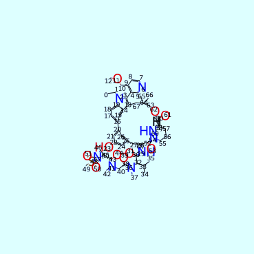 CCn1c(-c2cnccc2COC)c2c3cc(ccc31)-c1cc(O)cc(c1)C[C@H](NC(=O)C(C(C)C)N(C)C(=O)CN(C)C(=O)[C@@H]1CN1S(C)(=O)=O)C(=O)N1CCC[C@H](N1)C(=O)OCC(C)(C)C2